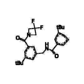 CC(C)(C)c1cccc(C(=O)NCc2cc(C(=O)N3CC(F)(F)C3)cc(C(C)(C)C)c2)c1